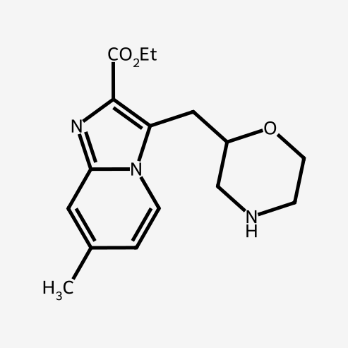 CCOC(=O)c1nc2cc(C)ccn2c1CC1CNCCO1